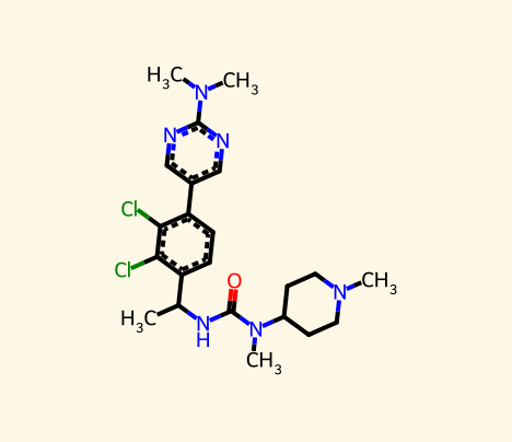 CC(NC(=O)N(C)C1CCN(C)CC1)c1ccc(-c2cnc(N(C)C)nc2)c(Cl)c1Cl